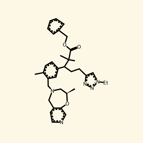 CCn1cc(CCC(c2ccc(C)c(CN3Cc4ccncc4O[C@H](C)C3)c2)C(C)(C)C(=O)OCc2ccccc2)nn1